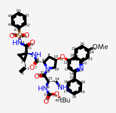 C=C[C@@H]1C[C@]1(NC(=O)[C@@H]1C[C@@H](Oc2cc(-c3ccccc3)nc3cc(OC)ccc23)CN1C(=O)[C@H](CN)NC(=O)OC(C)(C)C)C(=O)NS(=O)(=O)c1ccccc1